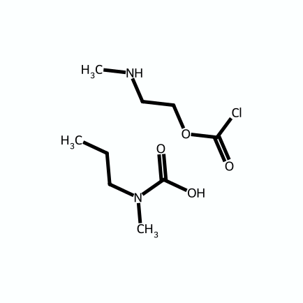 CCCN(C)C(=O)O.CNCCOC(=O)Cl